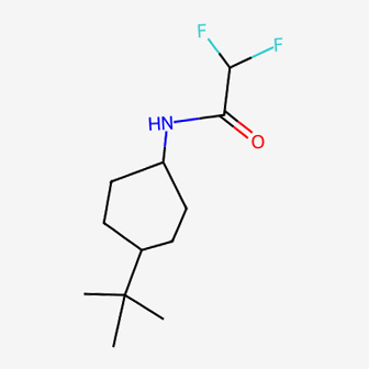 CC(C)(C)C1CCC(NC(=O)C(F)F)CC1